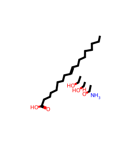 CCCCCCCCC=CCCCCCCCC(=O)O.CCO.CCO.CCO.N